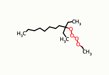 CCCCCCCCC(CC)(CC)OOOOCC